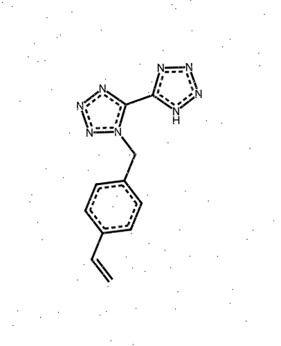 C=Cc1ccc(Cn2nnnc2-c2nnn[nH]2)cc1